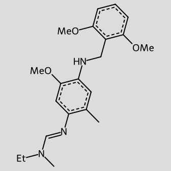 CCN(C)C=Nc1cc(OC)c(NCc2c(OC)cccc2OC)cc1C